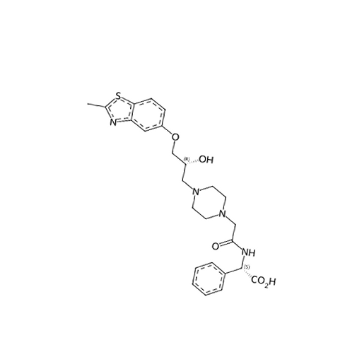 Cc1nc2cc(OC[C@H](O)CN3CCN(CC(=O)N[C@H](C(=O)O)c4ccccc4)CC3)ccc2s1